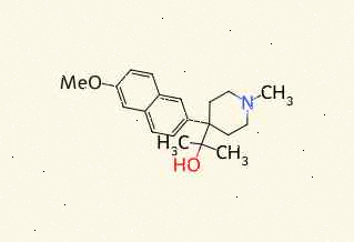 COc1ccc2cc(C3(C(C)(C)O)CCN(C)CC3)ccc2c1